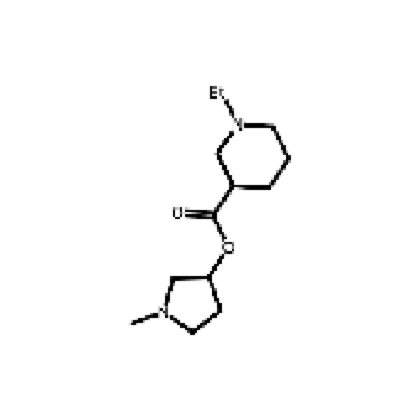 CCN1CCCC(C(=O)OC2CCN(C)C2)C1